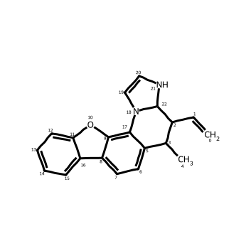 C=CC1C(C)c2ccc3c(oc4ccccc43)c2N2C=CNC12